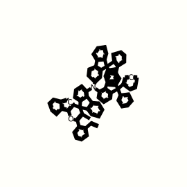 C=Cc1ccccc1C1=C(C)C2(c3ccccc3-c3c(N(c4ccc5c(c4)C4(c6ccccc6-c6ccccc64)c4ccccc4-5)c4cccc5c4-c4ccccc4C5(c4ccccc4)c4ccccc4)cccc32)c2ccc3ccccc3c2O1